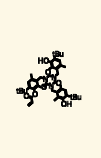 C=CC(=O)Oc1c(C(C)(C)C)cc(C)c(Cn2c(=O)n(Cc3c(C)cc(C(C)(C)C)c(O)c3C)c(=O)n(Cc3c(C)cc(C(C)(C)C)c(O)c3C)c2=O)c1C